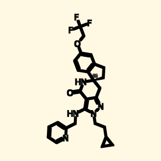 O=C1N[C@@]2(CCc3cc(OCC(F)(F)F)ccc32)Cc2nn(CCC3CC3)c(NCc3ccccn3)c21